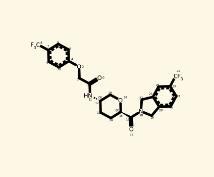 O=C(COc1ccc(C(F)(F)F)cc1)N[C@H]1CC[C@H](C(=O)N2Cc3ccc(C(F)(F)F)cc3C2)OC1